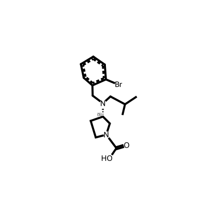 CC(C)CN(Cc1ccccc1Br)[C@H]1CCN(C(=O)O)C1